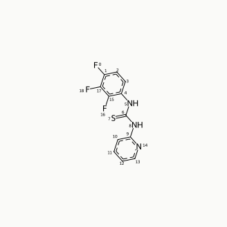 Fc1ccc(NC(=S)Nc2ccccn2)c(F)c1F